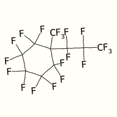 FC(F)(F)C(F)(F)C(F)(F)C1(C(F)(F)F)C(F)(F)C(F)(F)C(F)(F)C(F)(F)C1(F)F